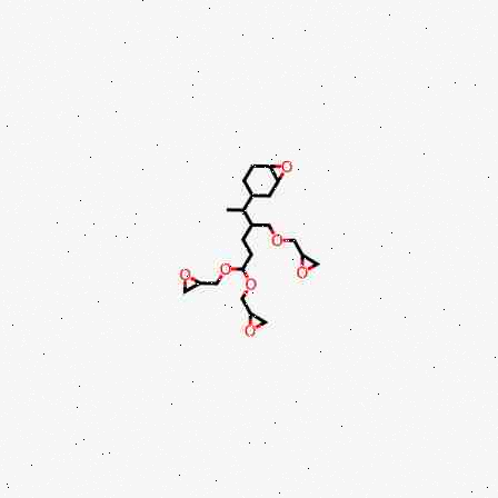 C[C](C(CCC(OCC1CO1)OCC1CO1)COCC1CO1)C1CCC2OC2C1